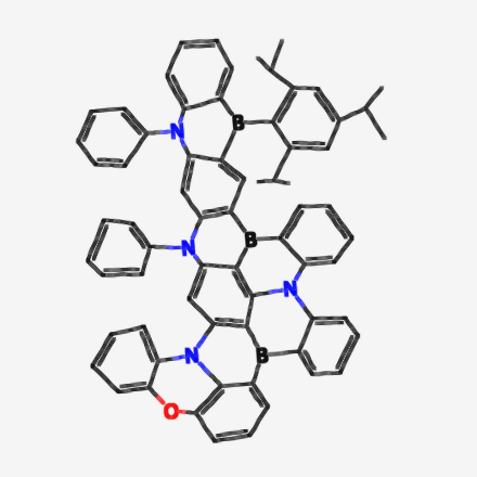 CC(C)c1cc(C(C)C)c(B2c3ccccc3N(c3ccccc3)c3cc4c(cc32)B2c3ccccc3N3c5ccccc5B5c6cccc7c6N(c6ccccc6O7)c6cc(c2c3c65)N4c2ccccc2)c(C(C)C)c1